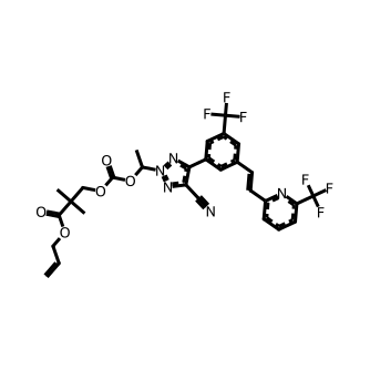 C=CCOC(=O)C(C)(C)COC(=O)OC(C)n1nc(C#N)c(-c2cc(C=Cc3cccc(C(F)(F)F)n3)cc(C(F)(F)F)c2)n1